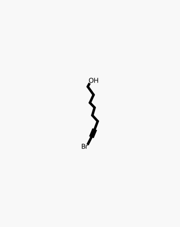 OCCCCCCC#CBr